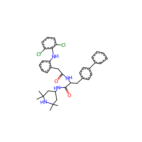 CC1(C)CC(NC(=O)C(Cc2ccc(-c3ccccc3)cc2)NC(=O)Cc2ccccc2Nc2c(Cl)cccc2Cl)CC(C)(C)N1